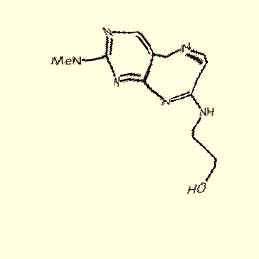 CNc1ncc2ncc(NCCO)nc2n1